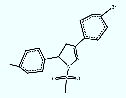 Cc1ccc(C2CC(c3ccc(Br)cc3)=NN2S(C)(=O)=O)cc1